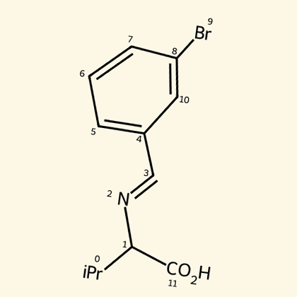 CC(C)C(N=Cc1cccc(Br)c1)C(=O)O